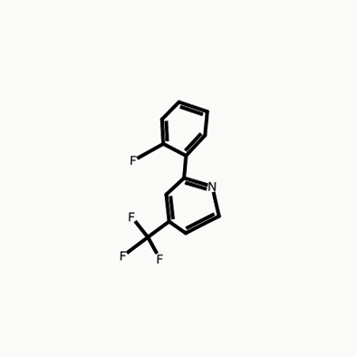 Fc1ccccc1-c1cc(C(F)(F)F)ccn1